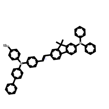 CC(C)(C)c1ccc(N(c2ccc(/C=C/c3ccc4c(c3)C(C)(C)c3cc(N(c5ccccc5)c5ccccc5)ccc3-4)cc2)c2ccc(-c3ccccc3)cc2)cc1